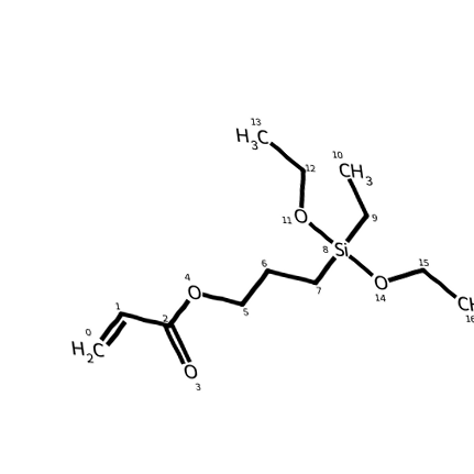 C=CC(=O)OCCC[Si](CC)(OCC)OCC